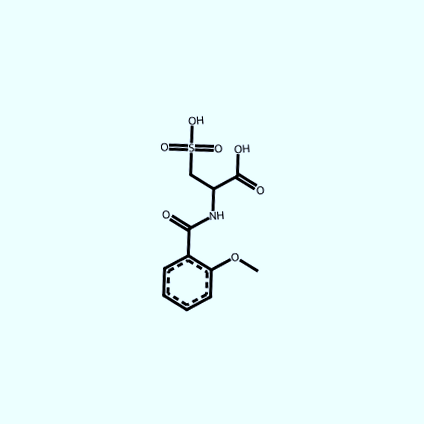 COc1ccccc1C(=O)NC(CS(=O)(=O)O)C(=O)O